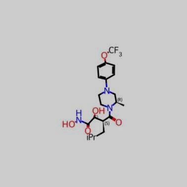 CC(C)C[C@H](C(=O)N1CCN(c2ccc(OC(F)(F)F)cc2)C[C@H]1C)[C@H](O)C(=O)NO